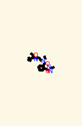 CCN(CCc1nc(C(C)(C)C)c(C)o1)C(=O)c1ccccc1-c1nc(C)no1